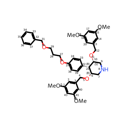 COc1cc(CO[C@H]2CNC[C@@H](OCc3cc(OC)cc(OC)c3)[C@H]2c2ccc(OCCCOCc3ccccc3)cc2)cc(OC)c1